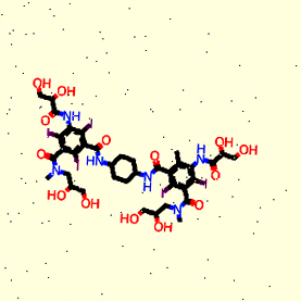 Cc1c(NC(=O)C(O)CO)c(I)c(C(=O)N(C)CC(O)CO)c(I)c1C(=O)NC1CCC(NC(=O)c2c(I)c(NC(=O)C(O)CO)c(I)c(C(=O)N(C)CC(O)CO)c2I)CC1